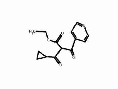 CCOC(=O)C(C(=O)c1ccncc1)C(=O)C1CC1